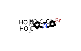 CC(C(=O)O)N(Cc1ccc(Br)cc1)Cc1ccc(C(=O)O)c(C(=O)O)c1